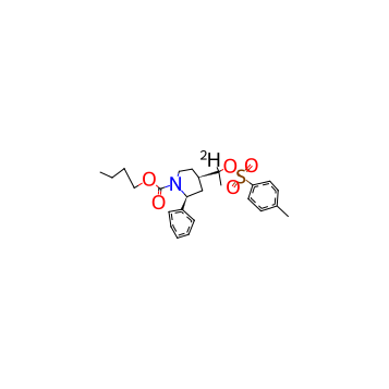 [2H]C(C)(OS(=O)(=O)c1ccc(C)cc1)[C@@H]1CCN(C(=O)OCCCC)[C@H](c2ccccc2)C1